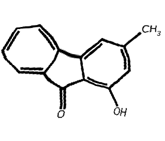 Cc1cc(O)c2c(c1)-c1ccccc1C2=O